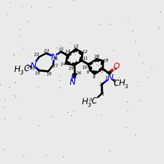 CCCN(C)C(=O)c1ccc(-c2ccc(CN3CCCN(C)CC3)cc2C#N)cc1